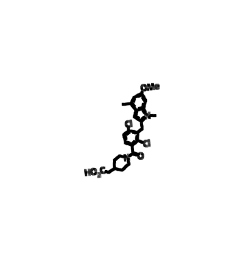 COc1cc(C)c2cc(Cc3c(Cl)ccc(C(=O)N4CCC(CC(=O)O)CC4)c3Cl)n(C)c2c1